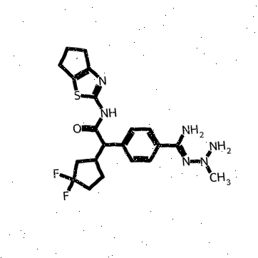 CN(N)/N=C(\N)c1ccc(C(C(=O)Nc2nc3c(s2)CCC3)C2CCC(F)(F)C2)cc1